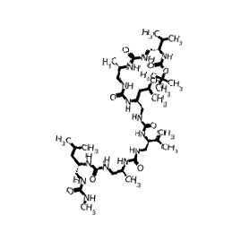 CNC(=O)NC[C@H](CC(C)C)NC(=O)NC[C@H](C)NC(=O)NC[C@@H](NC(=O)NC[C@H](CC(C)C)NC(=O)NC[C@H](C)NC(=O)NC[C@@H](NC(=O)OC(C)(C)C)C(C)C)C(C)C